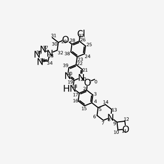 COc1cc(C2CCN(C3COC3)CC2)ccc1Nc1ncc(-c2ccc(Cl)c(OC(C)Cn3cnnn3)c2)cn1